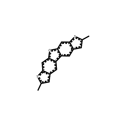 Cc1cc2cc3c(cc2s1)oc1cc2sc(C)cc2cc13